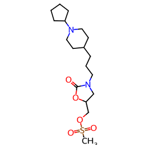 CS(=O)(=O)OCC1CN(CCCC2CCN(C3CCCC3)CC2)C(=O)O1